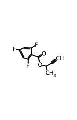 C#CC(C)OC(=O)c1c(F)cc(F)cc1F